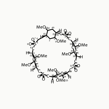 COC1C[C@@H]2CS(=O)(=O)C[C@H]3CC(OC)[C@H](CC3OC)CS(=O)(=O)C[C@H]3CC(OC)[C@H](CC3OC)CS(=O)(=O)C[C@H]3CC(OC)[C@H](CC3OC)CS(=O)(=O)C[C@H]1CC2OC